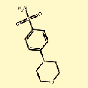 NS(=O)(=O)c1ccc(N2CCOCC2)cc1